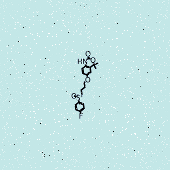 CC1(C)OC(=O)Nc2ccc(OCCCC[S+]([O-])c3ccc(F)cc3)cc21